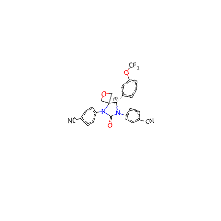 N#Cc1ccc(N2C(=O)N(c3ccc(C#N)cc3)C3(COC3)[C@@H]2c2cccc(OC(F)(F)F)c2)cc1